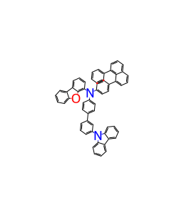 c1ccc(-c2cccc3cccc(-c4ccc(N(c5ccc(-c6cccc(-n7c8ccccc8c8ccccc87)c6)cc5)c5cccc6c5oc5ccccc56)cc4)c23)cc1